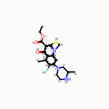 CCOC(=O)c1c2n(c3cc(N4CCNC(C)C4)c(F)c(C)c3c1=O)CS2